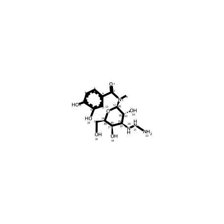 CN(C(=O)c1ccc(O)c(O)c1)[C@@H]1O[C@H](CO)[C@H](O)[C@H](NNN)[C@H]1O